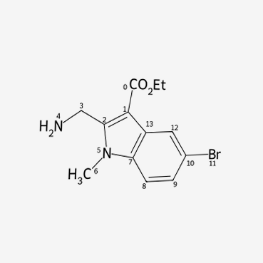 CCOC(=O)c1c(CN)n(C)c2ccc(Br)cc12